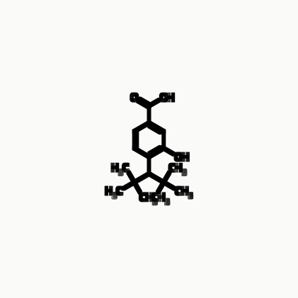 CC(C)(C)C(c1ccc(C(=O)O)cc1O)C(C)(C)C